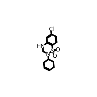 O=S1(=O)c2ccc(Cl)cc2NCN1C1CC=CCC1